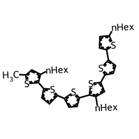 CCCCCCc1ccc(-c2ccc(-c3cc(CCCCCC)c(-c4ccc(-c5ccc(-c6sc(C)cc6CCCCCC)s5)s4)s3)s2)s1